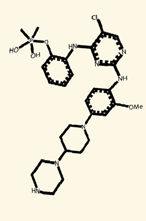 COc1cc(N2CCC(N3CCNCC3)CC2)ccc1Nc1ncc(Cl)c(Nc2ccccc2OP(C)(C)(O)O)n1